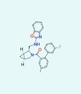 Cc1ccc(-c2cccc(F)c2)c(C(=O)N2C[C@H]3C[C@H]3[C@H]2CNc2nc3ccccc3o2)c1